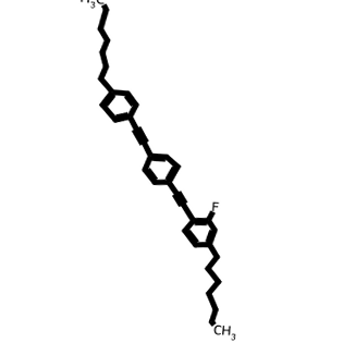 CCCCCCCc1ccc(C#Cc2ccc(C#Cc3ccc(CCCCCCC)cc3F)cc2)cc1